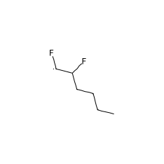 CCCCC(F)[CH]F